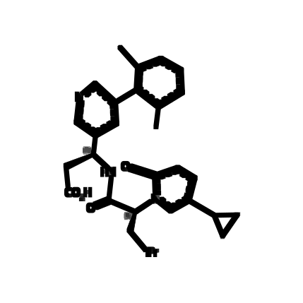 Cc1cccc(C)c1-c1cncc([C@H](CC(=O)O)NC(=O)[C@H](CC(C)C)n2cc(C3CC3)ccc2=O)c1